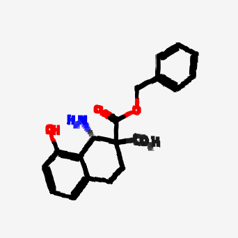 N[C@H]1c2c(O)cccc2CCC1(C(=O)O)C(=O)OCc1ccccc1